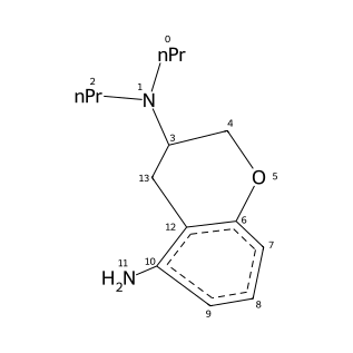 CCCN(CCC)C1COc2cccc(N)c2C1